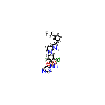 CN(C)C1(CCc2cccc(C(F)(F)F)c2)CCCN(c2cc(F)c(S(=O)(=O)Nc3ccncn3)c(Cl)c2)C1